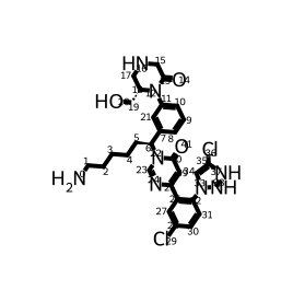 NCCCCC[C@@H](c1cccc(N2C(=O)CNC[C@H]2CO)c1)n1cnc(-c2cc(Cl)ccc2N2C=C(Cl)NN2)cc1=O